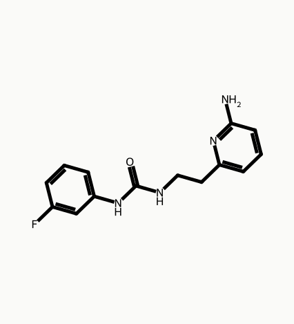 Nc1cccc(CCNC(=O)Nc2cccc(F)c2)n1